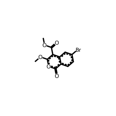 COC(=O)c1c(OC)oc(=O)c2ccc(Br)cc12